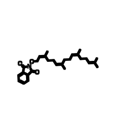 CC(C)=CCCC(C)=CCCC(C)=CCCC(C)=CCON1C(=O)c2ccccc2C1=O